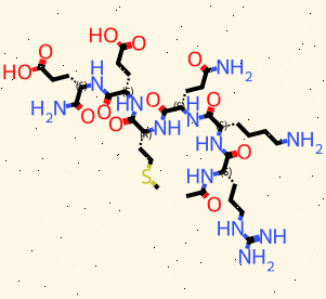 CSCC[C@@H](NC(=O)[C@H](CCC(N)=O)NC(=O)[C@H](CCCCN)NC(=O)[C@H](CCCNC(=N)N)NC(C)=O)C(=O)N[C@@H](CCC(=O)O)C(=O)N[C@@H](CCC(=O)O)C(N)=O